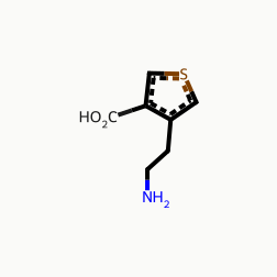 NCCc1cscc1C(=O)O